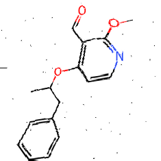 COc1nccc(OC(C)Cc2ccccc2)c1C=O